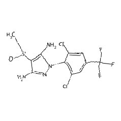 CC[S+]([O-])c1c(N)nn(-c2c(Cl)cc(C(F)(F)F)cc2Cl)c1N